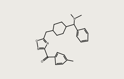 Cc1ccc(C(=O)c2noc(CC3CCC(C(c4ccccc4)N(C)C)CC3)n2)cc1